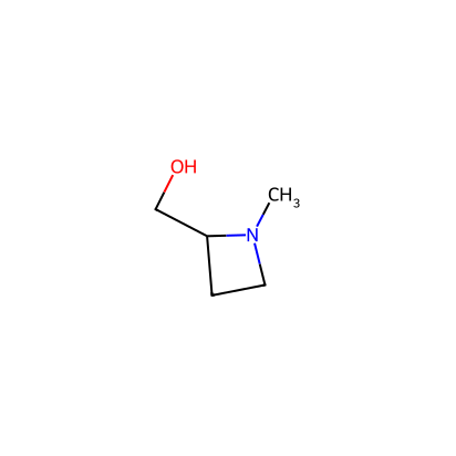 CN1CCC1CO